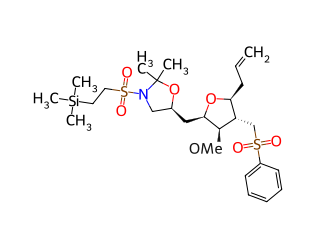 C=CC[C@@H]1O[C@H](C[C@H]2CN(S(=O)(=O)CC[Si](C)(C)C)C(C)(C)O2)[C@H](OC)[C@H]1CS(=O)(=O)c1ccccc1